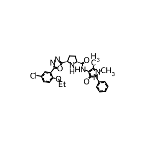 CCOc1ccc(Cl)cc1-c1nnc([C@H]2CC[C@@H](C(=O)Nc3c(C)n(C)n(-c4ccccc4)c3=O)N2)o1